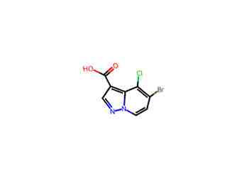 O=C(O)c1cnn2ccc(Br)c(Cl)c12